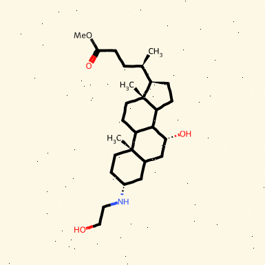 COC(=O)CC[C@@H](C)[C@H]1CCC2C3C(CC[C@@]21C)[C@@]1(C)CC[C@@H](NCCO)CC1C[C@H]3O